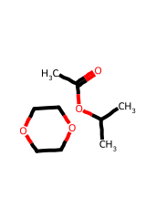 C1COCCO1.CC(=O)OC(C)C